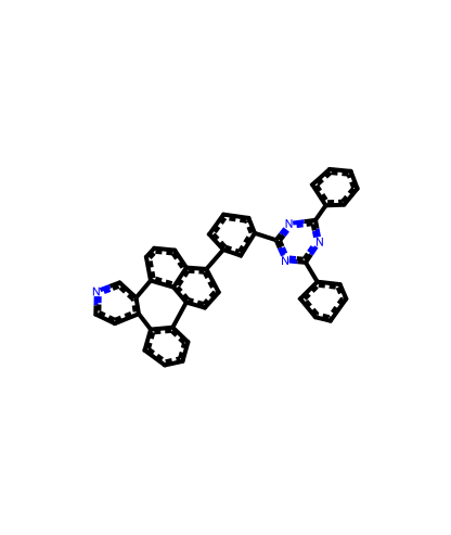 c1ccc(-c2nc(-c3ccccc3)nc(-c3cccc(-c4ccc5c6c(cccc46)-c4cnccc4-c4ccccc4-5)c3)n2)cc1